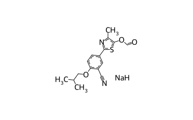 Cc1nc(-c2ccc(OCC(C)C)c(C#N)c2)sc1OC=O.[NaH]